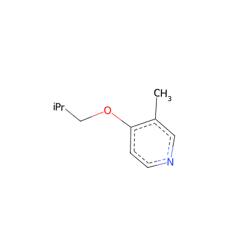 Cc1cnccc1OCC(C)C